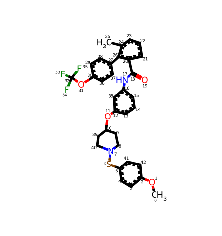 COc1ccc(SN2CCC(Oc3cccc(NC(=O)c4cccc(C)c4-c4ccc(OC(F)(F)F)cc4)c3)CC2)cc1